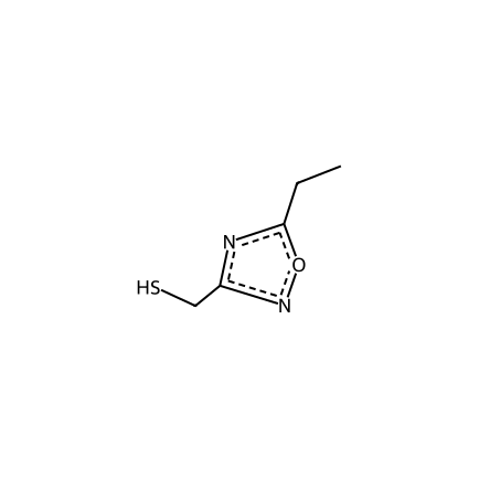 CCc1nc(CS)no1